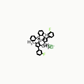 CC1=[C]([Zr+2]([C]2=C(C)C(c3cccc(F)c3)=CC2C)=[Si](c2ccccc2)c2ccccc2)C(C)C=C1c1cccc(F)c1.[Cl-].[Cl-]